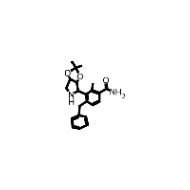 Cc1c(C(N)=O)ccc(Cc2ccccc2)c1C1NCC2OC(C)(C)OC21